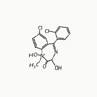 C[N+]1(O)C(=O)C(O)N=C(c2ccccc2Cl)c2cc(Cl)ccc21